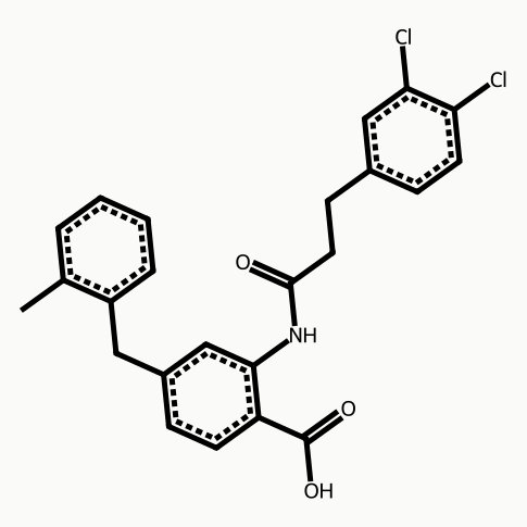 Cc1ccccc1Cc1ccc(C(=O)O)c(NC(=O)CCc2ccc(Cl)c(Cl)c2)c1